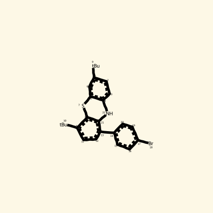 CC(C)(C)c1ccc2c(c1)Sc1c(C(C)(C)C)ccc(-c3ccc(Br)cc3)c1N2